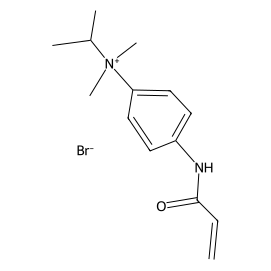 C=CC(=O)Nc1ccc([N+](C)(C)C(C)C)cc1.[Br-]